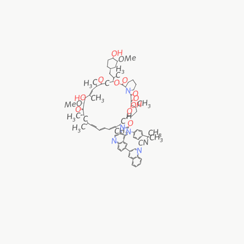 CO[C@@H]1C[C@@H](CC(C)[C@@H]2CC(=O)[C@H](C)/C=C(\C)[C@@H](O)[C@@H](OC)C(=O)[C@H](C)C[C@H](C)/C=C/C=C/C=C(/C)[C@H](n3c(=O)n(-c4ccc(C(C)(C)C#N)cc4)c4c5cc(-c6cnc7ccccc7c6)ccc5ncc43)C[C@@H]3CC[C@@H](C)[C@@](O)(O3)C(=O)C(=O)N3CCCCC3C(=O)O2)CC[C@H]1O